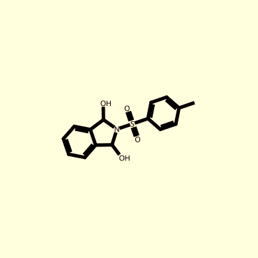 Cc1ccc(S(=O)(=O)N2C(O)c3ccccc3C2O)cc1